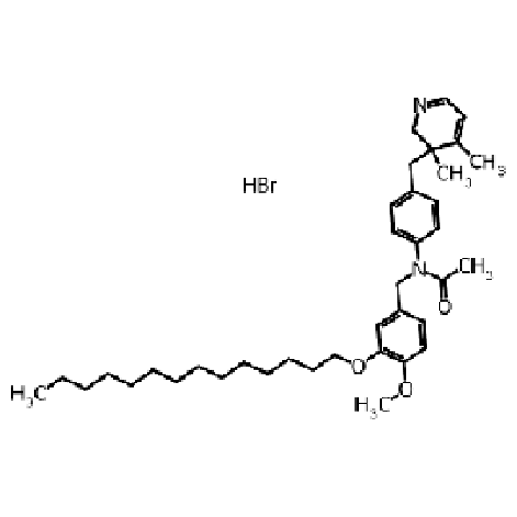 Br.CCCCCCCCCCCCCCOc1cc(CN(C(C)=O)c2ccc(CC3(C)CN=CC=C3C)cc2)ccc1OC